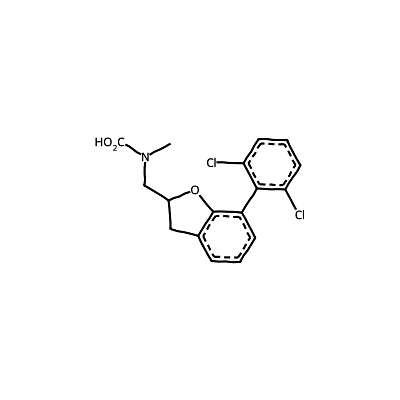 CN(CC1Cc2cccc(-c3c(Cl)cccc3Cl)c2O1)C(=O)O